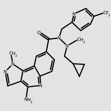 CN(CC1CC1)N(Cc1ccc(C(F)(F)F)cn1)C(=O)c1ccc2nc(N)c3cnn(C)c3c2c1